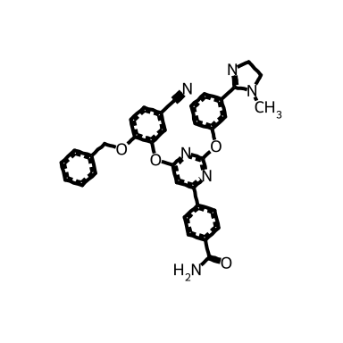 CN1CCN=C1c1cccc(Oc2nc(Oc3cc(C#N)ccc3OCc3ccccc3)cc(-c3ccc(C(N)=O)cc3)n2)c1